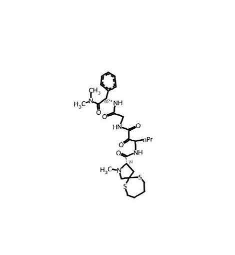 CCCC(NC(=O)[C@@H]1CC2(CN1C)SCCCCS2)C(=O)C(=O)NCC(=O)N[C@H](C(=O)N(C)C)c1ccccc1